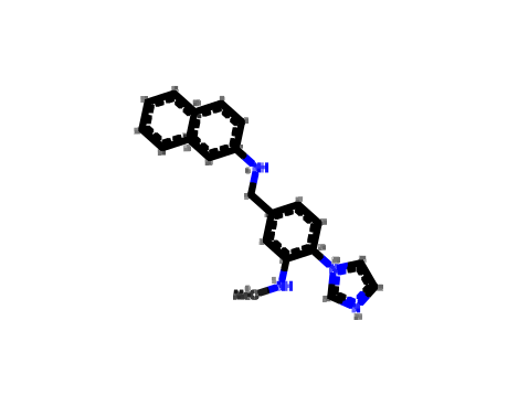 CONc1cc(CNc2ccc3ccccc3c2)ccc1-n1ccnc1